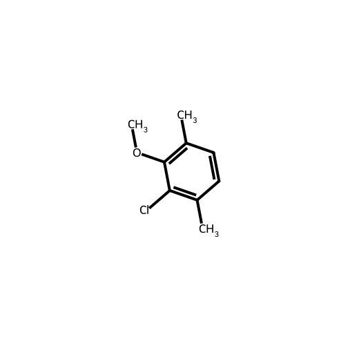 COc1c(C)ccc(C)c1Cl